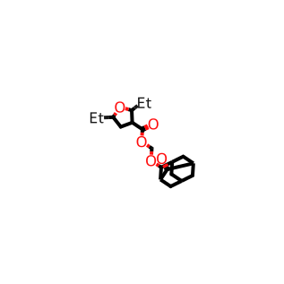 CCC1CC(C(=O)OCOC2C3CC4CC(C3)C(=O)C2C4)C(CC)O1